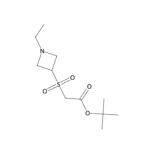 CCN1CC(S(=O)(=O)CC(=O)OC(C)(C)C)C1